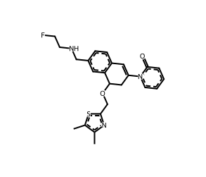 Cc1nc(COC2CC(n3ccccc3=O)=Cc3ccc(CNCCF)cc32)sc1C